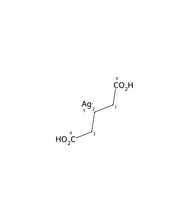 O=C(O)CCCC(=O)O.[Ag]